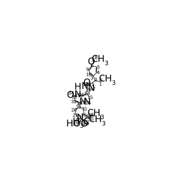 CCC(c1ccc(OC)cc1)c1nc(-c2cnn3c(C4CCN(C(=O)O)C(C(C)(C)C)C4)cc(=O)[nH]c23)no1